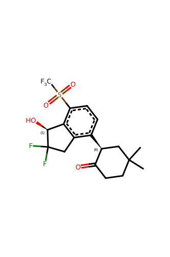 CC1(C)CCC(=O)[C@@H](c2ccc(S(=O)(=O)C(F)(F)F)c3c2CC(F)(F)[C@H]3O)C1